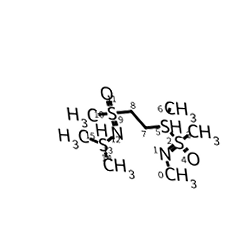 CN=S(C)(=O)[SH](C)CCS(C)(=O)=N[SH](C)C